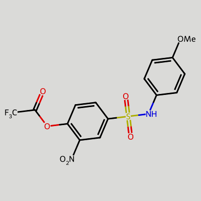 COc1ccc(NS(=O)(=O)c2ccc(OC(=O)C(F)(F)F)c([N+](=O)[O-])c2)cc1